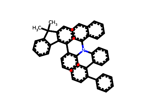 CC1(C)c2ccccc2-c2c(-c3ccccc3N(c3ccccc3-c3ccccc3-c3ccccc3)c3cccc4ccccc34)cccc21